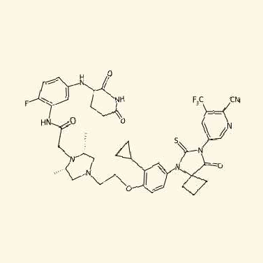 C[C@@H]1CN(CCOc2ccc(N3C(=S)N(c4cnc(C#N)c(C(F)(F)F)c4)C(=O)C34CCC4)cc2C2CC2)C[C@H](C)N1CC(=O)Nc1cc(NC2CCC(=O)NC2=O)ccc1F